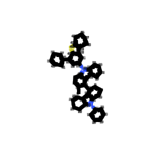 Cc1ccc2c(c1-c1cccc3c1c1c(n3-c3ccccc3)CCC=C1)c1ccccc1n2-c1cc(-c2ccccc2)c2sc3ccccc3c2c1